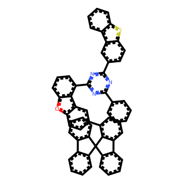 c1ccc(-c2nc(-c3ccc4sc5ccccc5c4c3)nc(-c3cccc4oc5ccc(-c6cccc7c6C6(c8ccccc8-c8ccccc86)c6ccccc6-7)cc5c34)n2)cc1